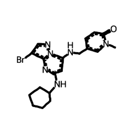 Cn1cc(CNc2cc(NC3CCCCC3)nc3c(Br)cnn23)ccc1=O